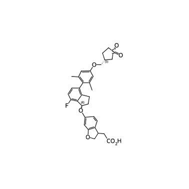 Cc1cc(OC[C@@H]2CCS(=O)(=O)C2)cc(C)c1-c1ccc(F)c2c1CC[C@H]2Oc1ccc2c(c1)OCC2CC(=O)O